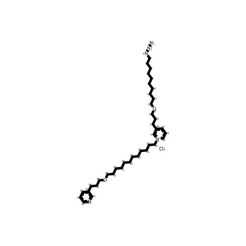 [Cl-].[N-]=[N+]=NCCCCCCCCCCOCCCc1ccc[n+](CCCCCCCCCCCCOCCCc2cccnc2)c1